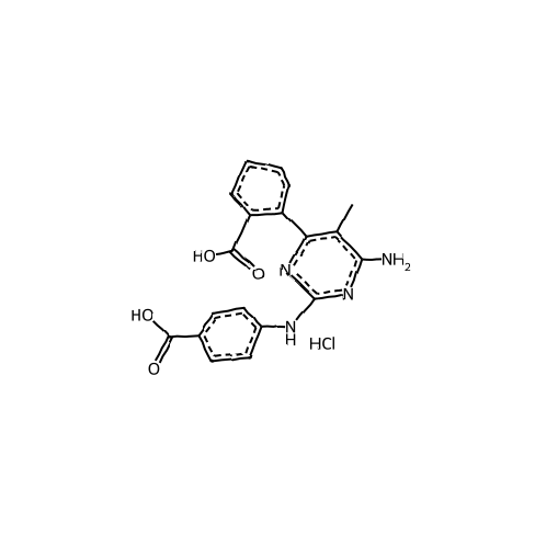 Cc1c(N)nc(Nc2ccc(C(=O)O)cc2)nc1-c1ccccc1C(=O)O.Cl